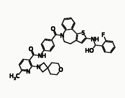 Cc1ccc(C(=O)Nc2ccc(C(=O)N3CCc4cc(NC(O)c5ccccc5F)sc4-c4ccccc43)cc2)c(N2CC3(CCOCC3)C2)n1